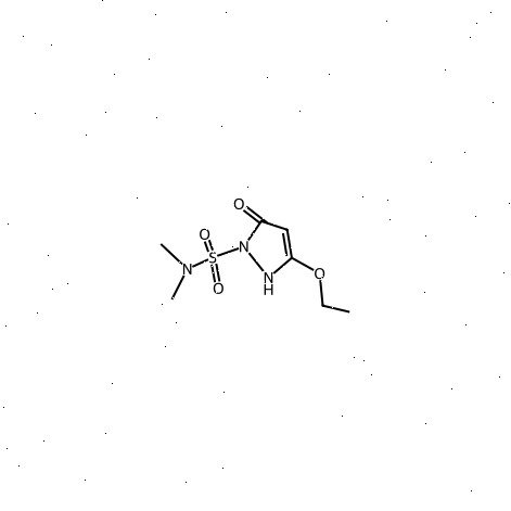 CCOc1cc(=O)n(S(=O)(=O)N(C)C)[nH]1